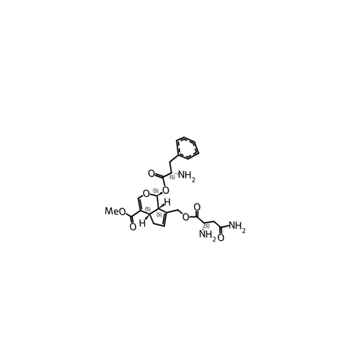 COC(=O)C1=CO[C@@H](OC(=O)[C@@H](N)Cc2ccccc2)[C@@H]2C(COC(=O)[C@@H](N)CC(N)=O)=CC[C@H]12